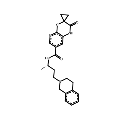 C[C@@H](CCN1CCc2ccccc2C1)NC(=O)c1cnc2c(c1)NC(=O)C1(CC1)O2